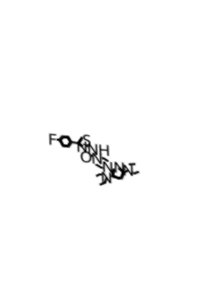 CCN(CC)c1ccc(N(CC)CC)c(N2CCN(C(=O)Nc3nc(-c4ccc(F)cc4)cs3)CC2)n1